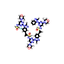 Cc1nc2ccccc2n1-c1nc(N=S(C)(=O)C2CC2c2ccc3c(c2)nc(C)n3-c2nc(N=S(C)(=O)C3CC3c3cc(F)c4c(c3)nc(C)n4-c3nc(N=S(C)(C)=O)cc(N4CCOC[C@H]4C)n3)cc(N3CCOC[C@H]3C)n2)cc(N2CCOC[C@H]2C)n1